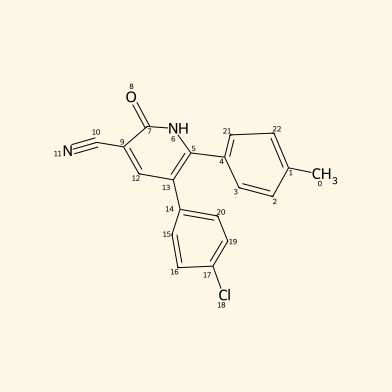 Cc1ccc(-c2[nH]c(=O)c(C#N)cc2-c2ccc(Cl)cc2)cc1